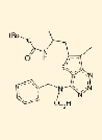 Cc1c(CC(C)NC(=O)OC(C)(C)C)sc2c(N(Cc3ccccc3)C(=O)O)nnnc12